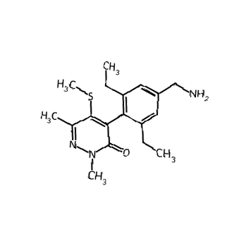 CCc1cc(CN)cc(CC)c1-c1c(SC)c(C)nn(C)c1=O